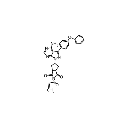 C=CC(=O)N1C(=O)C2=C(CC(n3nc(-c4ccc(Oc5ccccc5)cc4)c4c(N)ncnc43)C2)C1=O